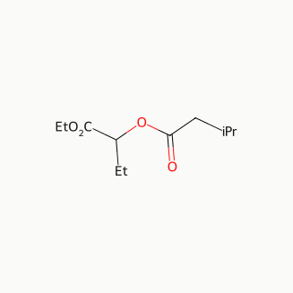 CCOC(=O)C(CC)OC(=O)CC(C)C